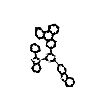 c1ccc(-c2nc3ccccc3n2-c2nc(-c3ccc4c(c3)sc3ccccc34)nc(-c3ccc4c5ccccc5c5ccccc5c4c3)n2)cc1